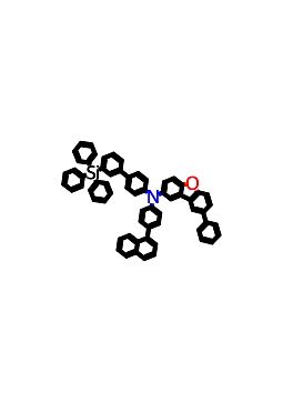 c1ccc(-c2ccc3oc4ccc(N(c5ccc(-c6cccc([Si](c7ccccc7)(c7ccccc7)c7ccccc7)c6)cc5)c5ccc(-c6cccc7ccccc67)cc5)cc4c3c2)cc1